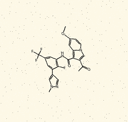 COc1ccn2cc(C(C)=O)c(C(=O)Nc3cc(C(F)(F)F)cc(-c4cnn(C)c4)c3F)c2c1